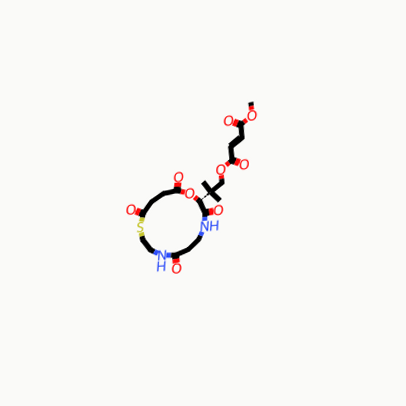 COC(=O)/C=C/C(=O)OCC(C)(C)[C@H]1OC(=O)CCC(=O)SCCNC(=O)CCNC1=O